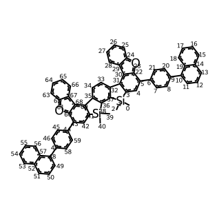 C[Si]1(C)c2cc(-c3ccc(-c4cccc5ccccc45)cc3)c3oc4ccccc4c3c2-c2ccc3c(c21)[Si](C)(C)c1cc(-c2ccc(-c4cccc5ccccc45)cc2)c2oc4ccccc4c2c1-3